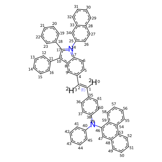 [2H]/C(=C(/[2H])c1ccc2c(c1)c(-c1ccccc1)c(-c1ccccc1)n2-c1ccc2ccccc2c1)c1ccc(N(c2ccccc2)c2cc3ccccc3c3ccccc23)cc1